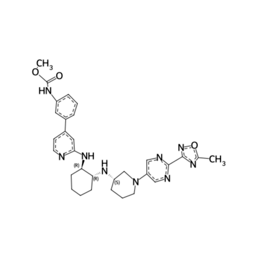 COC(=O)Nc1cccc(-c2ccnc(N[C@@H]3CCCC[C@H]3N[C@H]3CCCN(c4cnc(-c5noc(C)n5)nc4)C3)c2)c1